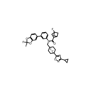 O=C(C1CC2(F)CC1C2)N(CC12CCC(c3nc(C4CC4)no3)(CC1)CC2)c1cccc(-c2ccc3c(c2)OC(F)(F)O3)c1